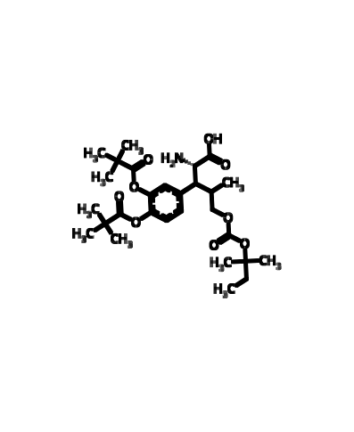 CCC(C)(C)OC(=O)OCC(C)C(c1ccc(OC(=O)C(C)(C)C)c(OC(=O)C(C)(C)C)c1)[C@H](N)C(=O)O